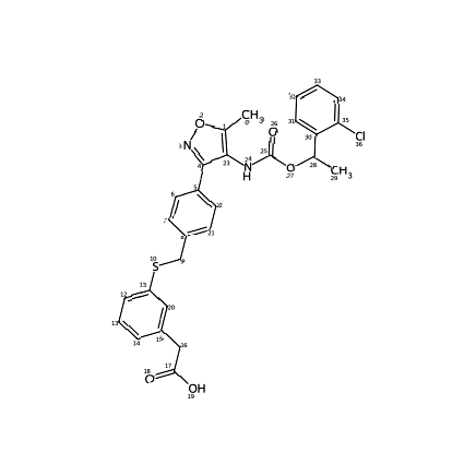 Cc1onc(-c2ccc(CSc3cccc(CC(=O)O)c3)cc2)c1NC(=O)OC(C)c1ccccc1Cl